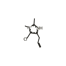 C=CCc1[nH]c(C)[n+](C)c1Cl